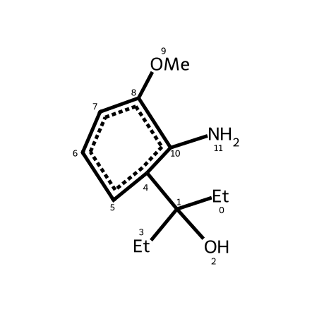 CCC(O)(CC)c1cccc(OC)c1N